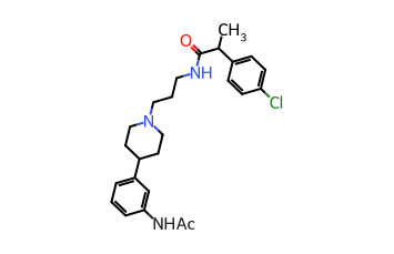 CC(=O)Nc1cccc(C2CCN(CCCNC(=O)C(C)c3ccc(Cl)cc3)CC2)c1